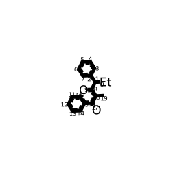 CCC(c1ccccc1)c1oc2ccccc2c(=O)c1C